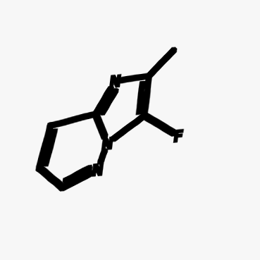 Cc1nc2cccnn2c1F